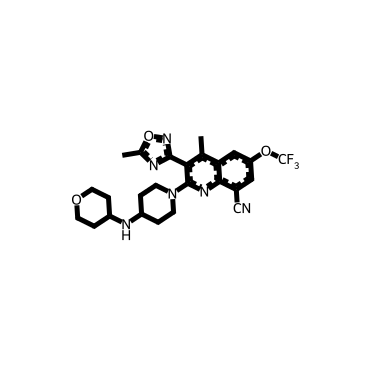 Cc1nc(-c2c(N3CCC(NC4CCOCC4)CC3)nc3c(C#N)cc(OC(F)(F)F)cc3c2C)no1